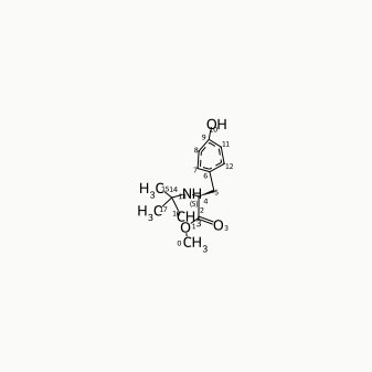 COC(=O)[C@H](Cc1ccc(O)cc1)NC(C)(C)C